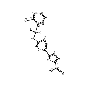 CC(C)(Nc1ncc(-c2ncc(C(=O)O)o2)cn1)c1ncccc1Cl